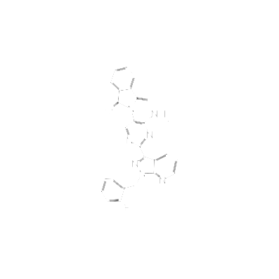 Nc1nc(-c2nn(Cc3ccccc3F)c3ncccc23)ncc1N1C(=O)c2ccccc2C1=O